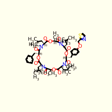 CC(C)C[C@H]1C(=O)O[C@H](Cc2ccc(OCc3nccs3)cc2)C(=O)N(C)[C@@H](CC(C)C)C(=O)O[C@H](C)C(=O)N(C)[C@@H](CC(C)C)C(=O)O[C@H](Cc2ccccc2)C(=O)N(C)[C@@H](CC(C)C)C(=O)O[C@H](C)C(=O)N1C